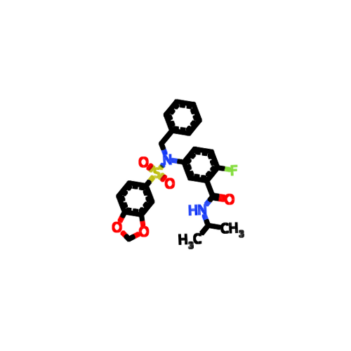 CC(C)NC(=O)c1cc(N(Cc2ccccc2)S(=O)(=O)c2ccc3c(c2)OCO3)ccc1F